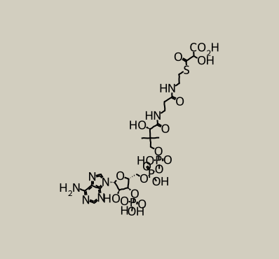 CC(C)(COP(=O)(O)OP(=O)(O)OC[C@H]1O[C@@H](n2cnc3c(N)ncnc32)[C@H](O)[C@@H]1OP(=O)(O)O)[C@@H](O)C(=O)NCCC(=O)NCCSC(=O)C(O)C(=O)O